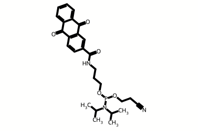 CC(C)N(C(C)C)P(OCCC#N)OCCCNC(=O)c1ccc2c(c1)C(=O)c1ccccc1C2=O